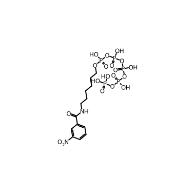 O=C(NCCCCCCOP(=O)(O)OP(=O)(O)OP(=O)(O)OP(=O)(O)OP(=O)(O)O)c1cccc([N+](=O)[O-])c1